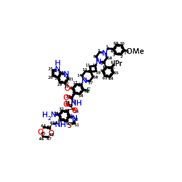 COc1ccc(CN2CCN(C3CC4(CCN(c5cc(Oc6cnc7[nH]ccc7c6)c(C(=O)NS(=O)(=O)c6cc(N)c(NC[C@H]7COCCO7)c7scnc67)cc5F)CC4)C3)[C@H](c3ccccc3C(C)C)C2)cc1